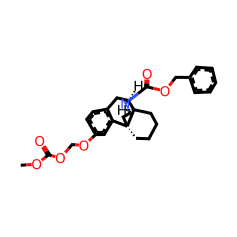 COC(=O)OCOc1ccc2c(c1)[C@]13CCCC[C@@H]1[C@H](C2)N(C(=O)OCc1ccccc1)CC3